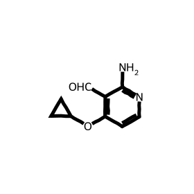 Nc1nccc(OC2CC2)c1C=O